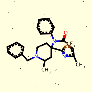 Cc1csc(C2(N(C(=O)C(F)(F)F)c3ccccc3)CCN(Cc3ccccc3)C(C)C2)n1